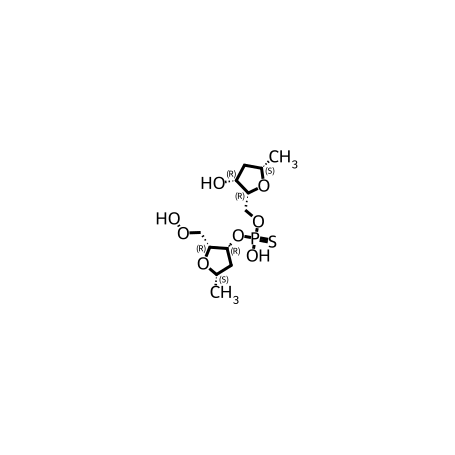 C[C@H]1C[C@@H](O)[C@@H](COP(O)(=S)O[C@@H]2C[C@H](C)O[C@@H]2COO)O1